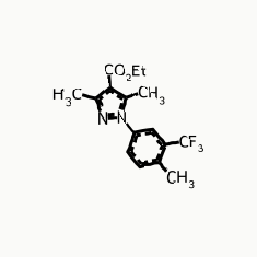 CCOC(=O)c1c(C)nn(-c2ccc(C)c(C(F)(F)F)c2)c1C